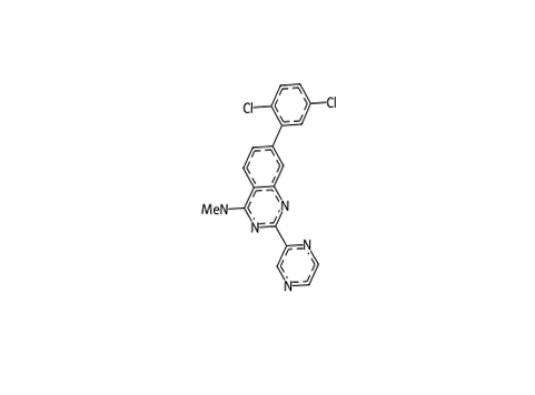 CNc1nc(-c2cnccn2)nc2cc(-c3cc(Cl)ccc3Cl)ccc12